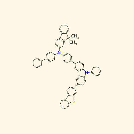 CC1(C)c2ccccc2-c2ccc(N(c3ccc(-c4ccccc4)cc3)c3ccc(-c4ccc5c(c4)c4cc(-c6ccc7c(c6)sc6ccccc67)ccc4n5-c4ccccc4)cc3)cc21